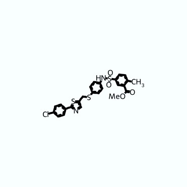 COC(=O)c1cc(S(=O)(=O)Nc2ccc(SCc3cnc(-c4ccc(Cl)cc4)s3)cc2)ccc1C